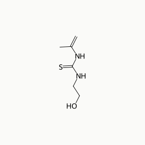 C=C(C)NC(=S)NCCO